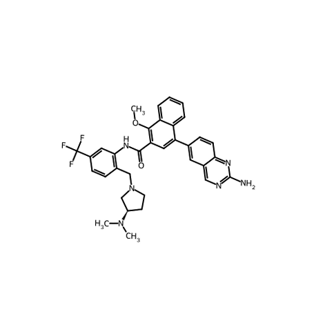 COc1c(C(=O)Nc2cc(C(F)(F)F)ccc2CN2CC[C@@H](N(C)C)C2)cc(-c2ccc3nc(N)ncc3c2)c2ccccc12